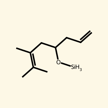 C=CCC(CC(C)=C(C)C)O[SiH3]